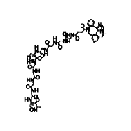 CC(C)C(=O)[C@H](CO)NC(=O)CNC(=O)CNC(=O)CNC(=O)CNC(=O)[C@H](CO)NC(=O)CNC(=O)CNC(=O)CNC(=O)CNC(=O)CCC(=O)N1Cc2ccccc2-c2c(nnn2C(C)C)-c2ccccc21